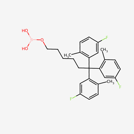 Cc1ccc(F)cc1C(CCCCCOB(O)O)(c1cc(F)ccc1C)c1cc(F)ccc1C